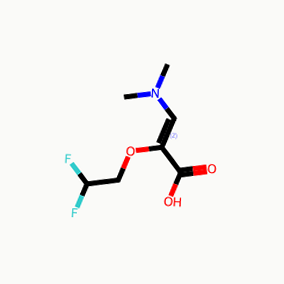 CN(C)/C=C(\OCC(F)F)C(=O)O